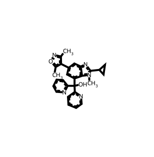 Cc1noc(C)c1-c1cc(C(O)(c2ccccn2)c2ccccn2)c2c(c1)nc(C1CC1)n2C